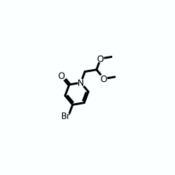 COC(Cn1ccc(Br)cc1=O)OC